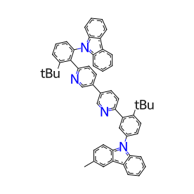 Cc1ccc2c(c1)c1ccccc1n2-c1ccc(C(C)(C)C)c(-c2ccc(-c3ccc(-c4c(-n5c6ccccc6c6ccccc65)cccc4C(C)(C)C)nc3)cn2)c1